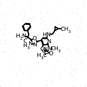 CC1CC1CNc1cc(-c2nnc([C@](C)(N)Cc3ccccc3)o2)c(C#N)c(N(C)S(C)(=O)=O)n1